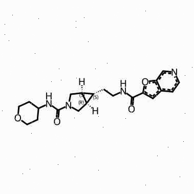 O=C(NCC[C@@H]1[C@H]2CN(C(=O)NC3CCOCC3)C[C@@H]12)c1cc2ccncc2o1